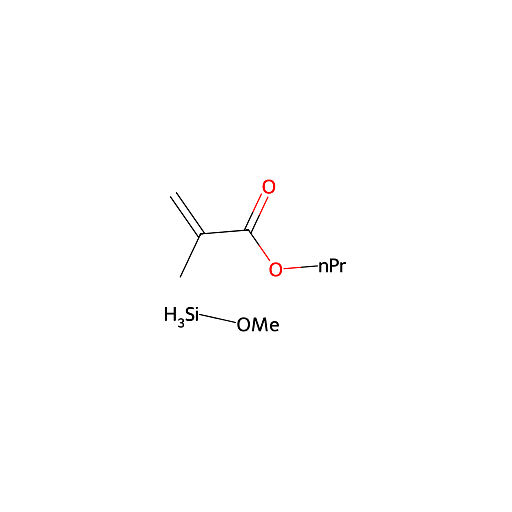 CO[SiH3].[CH2]CCOC(=O)C(=C)C